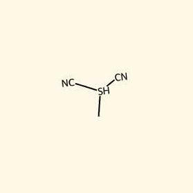 C[SH](C#N)C#N